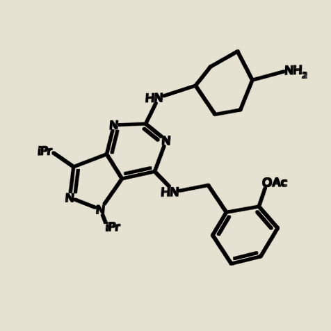 CC(=O)Oc1ccccc1CNc1nc(NC2CCC(N)CC2)nc2c(C(C)C)nn(C(C)C)c12